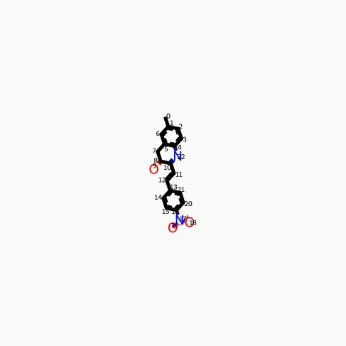 Cc1ccc2c(c1)CC(=O)C(/C=C/c1ccc([N+](=O)[O-])cc1)=N2